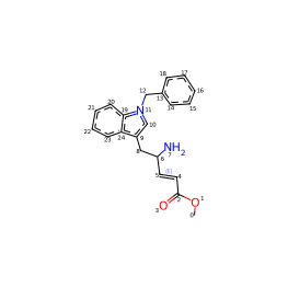 COC(=O)/C=C/C(N)Cc1cn(Cc2ccccc2)c2ccccc12